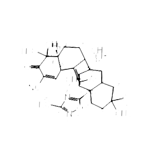 CC(=O)/C=C1/[C@@]2(C)C=C(C#N)C(=O)C(C)(C)[C@@H]2CC[C@@]1(C)[C@]1(C)CC[C@@]2(c3nc(C)no3)CCC(C)(C)CC2C1